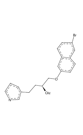 O[C@@H](CCc1cccnc1)COc1ccc2cc(Br)ccc2c1